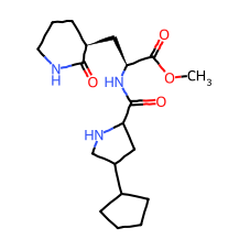 COC(=O)[C@H](C[C@@H]1CCCNC1=O)NC(=O)C1CC(C2CCCC2)CN1